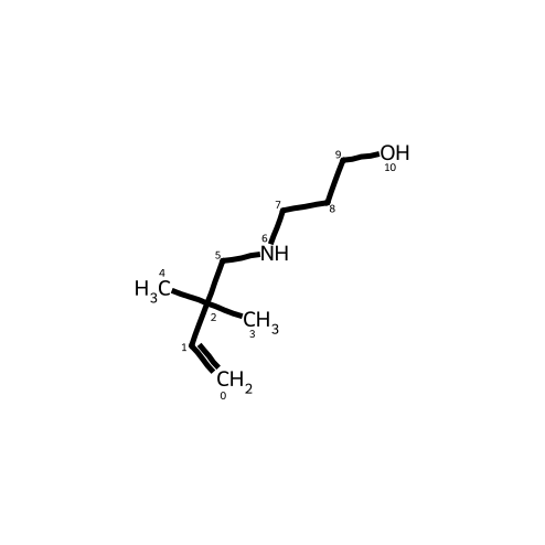 C=CC(C)(C)CNCCCO